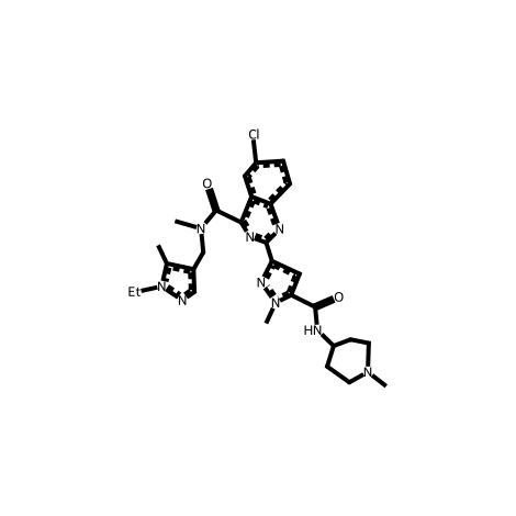 CCn1ncc(CN(C)C(=O)c2nc(-c3cc(C(=O)NC4CCN(C)CC4)n(C)n3)nc3ccc(Cl)cc23)c1C